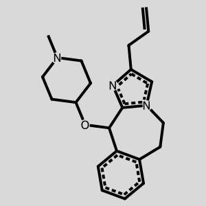 C=CCc1cn2c(n1)C(OC1CCN(C)CC1)c1ccccc1CC2